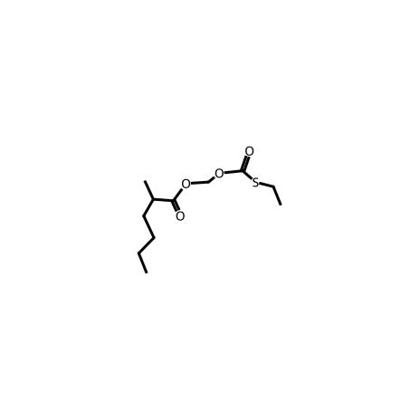 CCCCC(C)C(=O)OCOC(=O)SCC